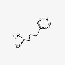 CCC(N)CCCc1cccnc1